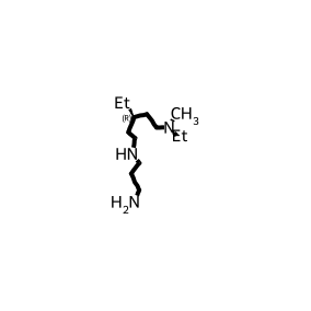 CC[C@H](CCNCCCN)CCN(C)CC